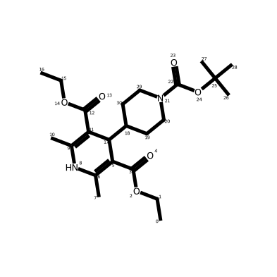 CCOC(=O)C1=C(C)NC(C)=C(C(=O)OCC)C1C1CCN(C(=O)OC(C)(C)C)CC1